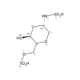 O=S(=O)(O)N[C@@H]1COC(COS(=O)(=O)O)[C@@H](O)C1